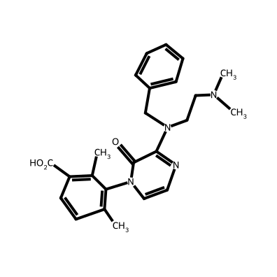 Cc1ccc(C(=O)O)c(C)c1-n1ccnc(N(CCN(C)C)Cc2ccccc2)c1=O